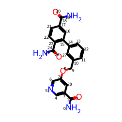 NC(=O)c1cncc(OCc2cccc(-c3cc(C(N)=O)ccc3C(N)=O)c2)c1